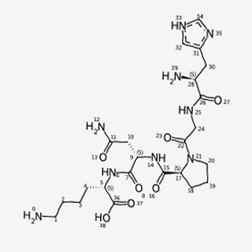 NCCCC[C@H](NC(=O)[C@H](CC(N)=O)NC(=O)[C@@H]1CCCN1C(=O)CNC(=O)[C@@H](N)Cc1c[nH]cn1)C(=O)O